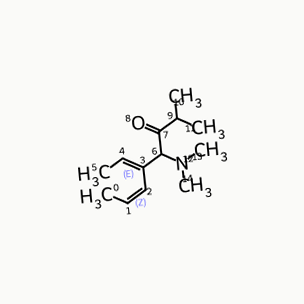 C/C=C\C(=C/C)C(C(=O)C(C)C)N(C)C